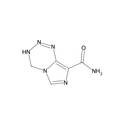 NC(=O)c1ncn2c1N=NNC2